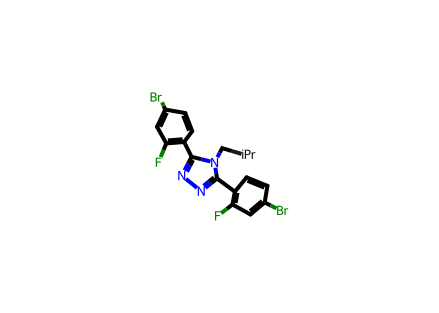 CC(C)Cn1c(-c2ccc(Br)cc2F)nnc1-c1ccc(Br)cc1F